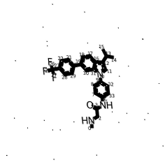 CNCC(=O)Nc1ccc(-n2cc(C(C)C)c3ccc(-c4ccc(C(F)(F)F)cc4)cc32)cc1